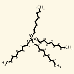 CCCCCCCC[O][Sn]([O]CCCCCCCC)([O]CCCCCCCC)[O]CCCCCCCC